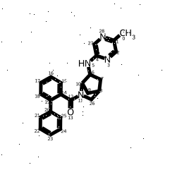 Cc1cnc(NC2CC3CC2N(C(=O)c2ccccc2-c2ccccc2)C3)cn1